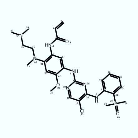 C=CC(=O)Nc1cc(Nc2ncc(Cl)c(Nc3ccccc3P(C)(C)=O)n2)c(OC)cc1N(C)CCN(C)C